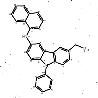 CCc1ccc2c(c1)c1cc(Nc3cccc4ccccc34)ccc1n2-c1ccccc1